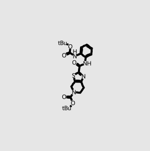 CC(C)(C)OC(=O)Nc1ccccc1NC(=O)c1nc2c(s1)CN(C(=O)OC(C)(C)C)CC2